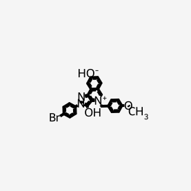 COc1ccc(C[n+]2cc3ccccc3c3nn(-c4ccc(Br)cc4)c(O)c32)cc1.[OH-]